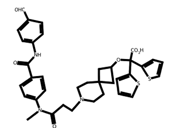 CN(C(=O)CCN1CCC2(CC1)CC(OC(C(=O)O)(c1cccs1)c1cccs1)C2)c1ccc(C(=O)Nc2ccc(C=O)cc2)cc1